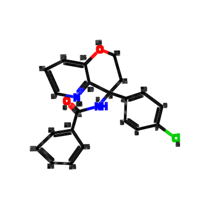 O=C(NC1(c2ccc(Cl)cc2)CCOc2cccnc21)c1ccccc1